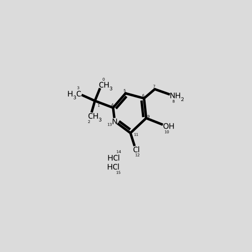 CC(C)(C)c1cc(CN)c(O)c(Cl)n1.Cl.Cl